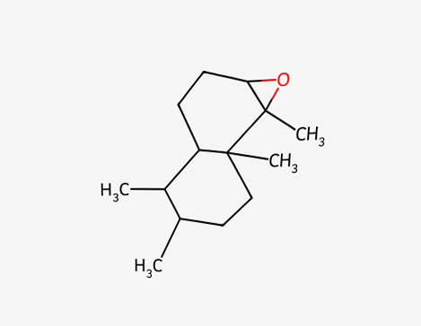 CC1CCC2(C)C(CCC3OC32C)C1C